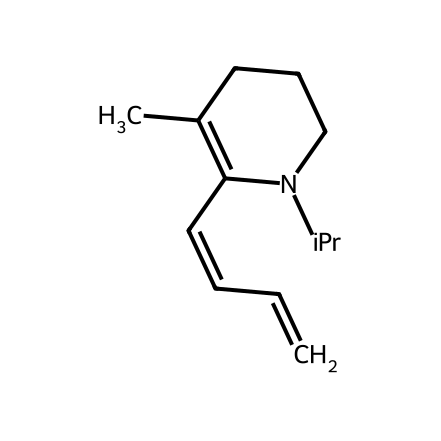 C=C/C=C\C1=C(C)CCCN1C(C)C